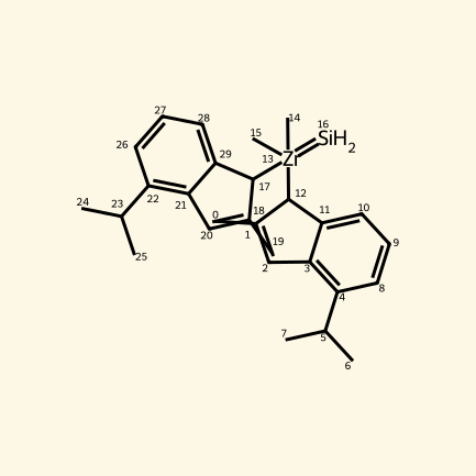 CC1=Cc2c(C(C)C)cccc2[CH]1[Zr]([CH3])([CH3])(=[SiH2])[CH]1C(C)=Cc2c(C(C)C)cccc21